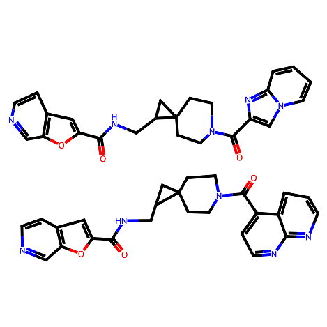 O=C(NCC1CC12CCN(C(=O)c1ccnc3ncccc13)CC2)c1cc2ccncc2o1.O=C(NCC1CC12CCN(C(=O)c1cn3ccccc3n1)CC2)c1cc2ccncc2o1